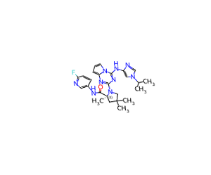 CC(C)n1cnc(Nc2nc(N3CC(C)(C)C[C@@]3(C)C(=O)Nc3ccc(F)nc3)nc3cccn23)c1